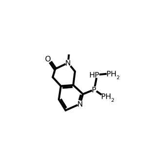 CN1Cc2c(ccnc2P(P)PP)CC1=O